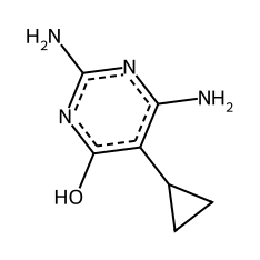 Nc1nc(N)c(C2CC2)c(O)n1